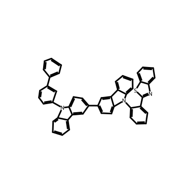 c1ccc(-c2cccc(-n3c4ccccc4c4cc(-c5ccc6c(c5)c5ccccc5n6-c5ccccc5-c5nc6ccccc6s5)ccc43)c2)cc1